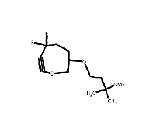 CNC(C)(C)CCOC1CCC#CC(F)(F)CC1